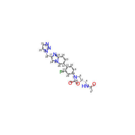 CC(=O)NC[C@H]1CN(c2ccc(-c3ccc4nc(Cn5ccnn5)cn4c3)c(F)c2)C(=O)O1